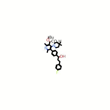 Cc1nc(C)c([C@H](OC(C)(C)C)C(=O)O)c(N2CCC(C)(C)CC2)c1-c1ccc(C(O)CCc2ccc(F)cc2)cc1